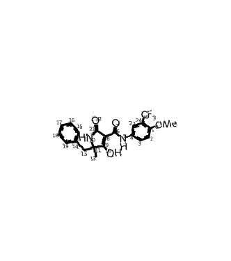 COc1ccc(NC(=O)C2=C(O)C(C)(Cc3ccccc3)NC2=O)cc1C(F)(F)F